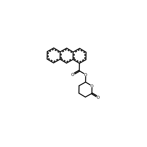 O=C1CCCC(OC(=O)c2cccc3cc4ccccc4cc23)O1